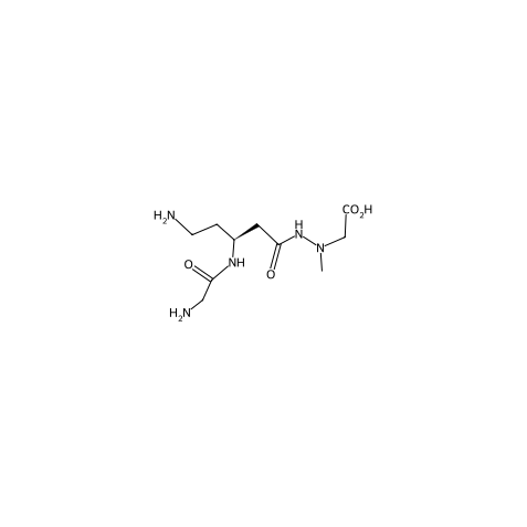 CN(CC(=O)O)NC(=O)C[C@H](CCN)NC(=O)CN